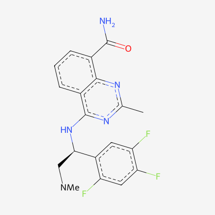 CNC[C@@H](Nc1nc(C)nc2c(C(N)=O)cccc12)c1cc(F)c(F)cc1F